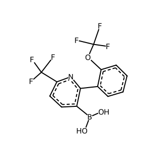 OB(O)c1ccc(C(F)(F)F)nc1-c1ccccc1OC(F)(F)F